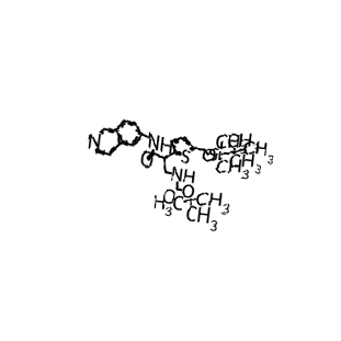 CC(C)(C)OC(=O)NCC(C(=O)Nc1ccc2cnccc2c1)c1ccc(CO[Si](C)(C)C(C)(C)C)s1